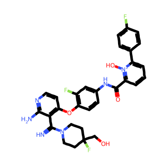 N=C(c1c(Oc2ccc(NC(=O)c3cccc(-c4ccc(F)cc4)[n+]3O)cc2F)ccnc1N)N1CCC(F)(CO)CC1